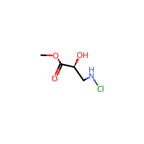 COC(=O)[C@@H](O)CNCl